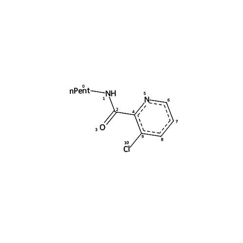 CCCCCNC(=O)c1ncccc1Cl